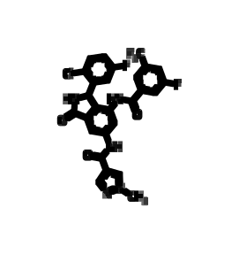 Cn1cc(C(=O)Nc2cc(NC(=O)c3cc(F)cc(C(F)(F)F)c3)c3c(c2)C(=O)NC3c2cc(F)ccc2Cl)cn1